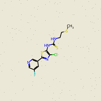 CSCCNC(=S)Nc1sc(-c2cncc(F)c2)nc1Cl